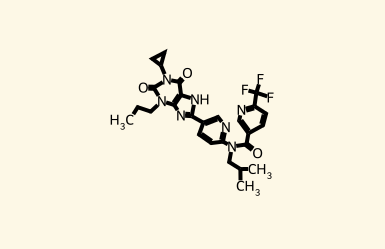 CCCn1c(=O)n(C2CC2)c(=O)c2[nH]c(-c3ccc(N(CC(C)C)C(=O)c4ccc(C(F)(F)F)nc4)nc3)nc21